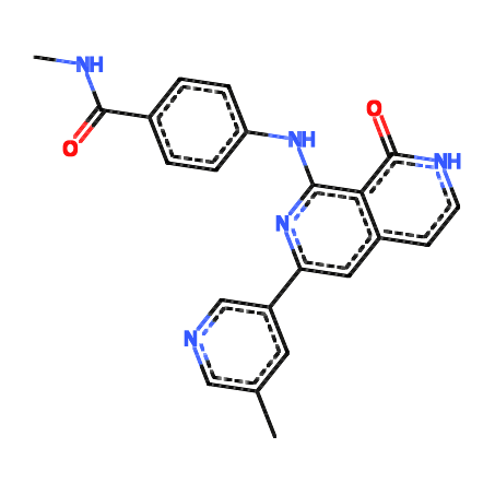 CNC(=O)c1ccc(Nc2nc(-c3cncc(C)c3)cc3cc[nH]c(=O)c23)cc1